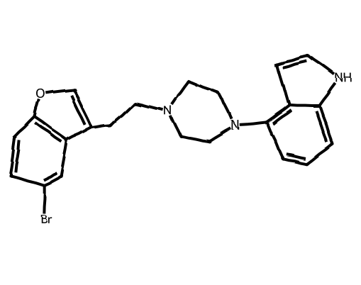 Brc1ccc2occ(CCN3CCN(c4cccc5[nH]ccc45)CC3)c2c1